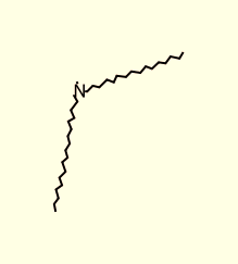 CCCCCCCCCCCCCCCCCCN(C)CCCCCCCCCCCCCCCC